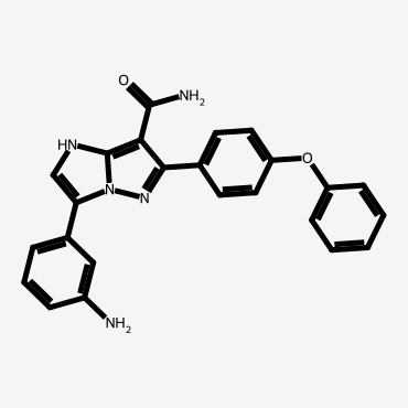 NC(=O)c1c(-c2ccc(Oc3ccccc3)cc2)nn2c(-c3cccc(N)c3)c[nH]c12